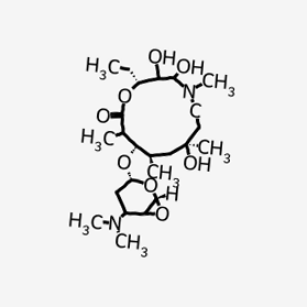 CC[C@H]1OC(=O)C(C)[C@@H](O[C@H]2CC(N(C)C)C3O[C@H]3O2)[C@H](C)C[C@](C)(O)CCN(C)C(O)C1O